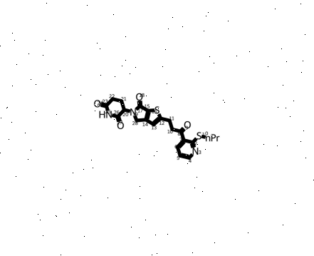 CCCSc1ncccc1C(=O)CCc1cc2c(s1)C(=O)N(C1CCC(=O)NC1=O)C2